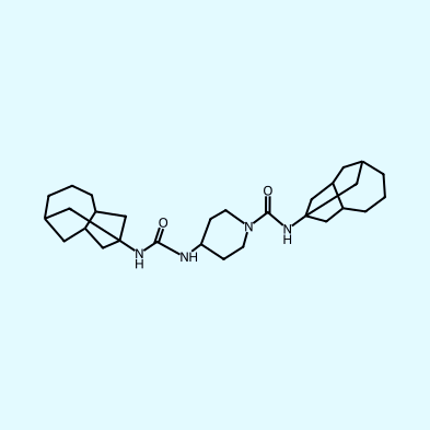 O=C(NC1CCN(C(=O)NC23CC4CCCC(C2)C(C4)C3)CC1)NC12CC3CCCC(C1)C(C3)C2